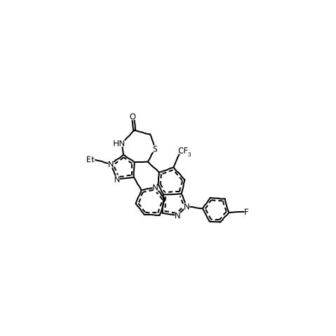 CCn1nc(-c2ccccn2)c2c1NC(=O)CSC2c1cc2cnn(-c3ccc(F)cc3)c2cc1C(F)(F)F